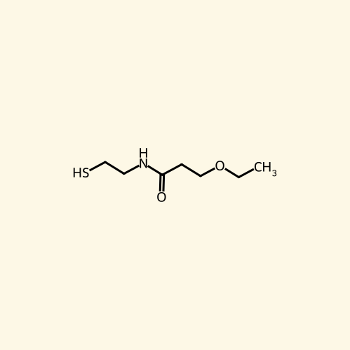 CCOCCC(=O)NCCS